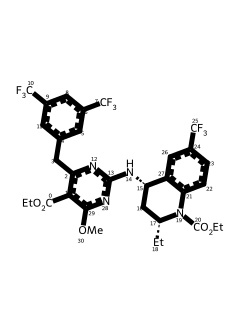 CCOC(=O)c1c(Cc2cc(C(F)(F)F)cc(C(F)(F)F)c2)nc(N[C@H]2C[C@@H](CC)N(C(=O)OCC)c3ccc(C(F)(F)F)cc32)nc1OC